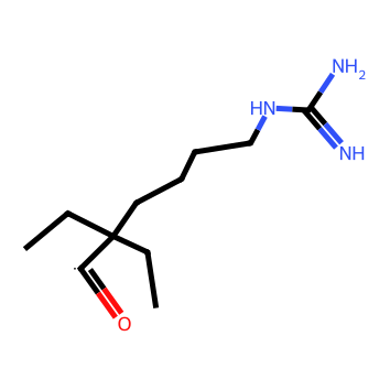 CCC([C]=O)(CC)CCCCNC(=N)N